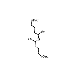 CCCCCCCCCCCCCC(CC)OC(CC)CCCCCCCCCCCCC